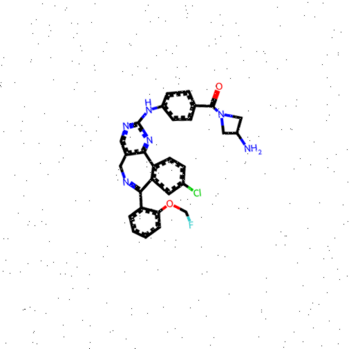 NC1CN(C(=O)c2ccc(Nc3ncc4c(n3)-c3ccc(Cl)cc3C(c3ccccc3OCF)=NC4)cc2)C1